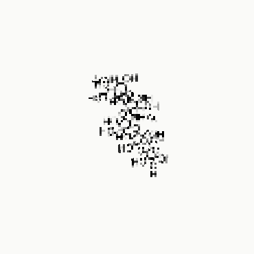 CC(=O)N[C@H]1[C@H](O[C@@H]2[C@H](O)[C@@H](O)[C@H](O[C@H]3[C@H](O)[C@@H](O)[C@H](O)O[C@@H]3CO)O[C@@H]2CO)O[C@H](CO)[C@H](O)[C@@H]1O[C@@H]1O[C@H](CO)[C@H](O)[C@H](O[C@]2(C(=O)O)C[C@H](O)[C@@H](NC(C)=O)[C@H]([C@H](O)[C@H](O)CO)O2)[C@H]1O